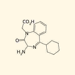 NC1N=C(C2CCCCC2)c2ccccc2N(CC(=O)O)C1=O